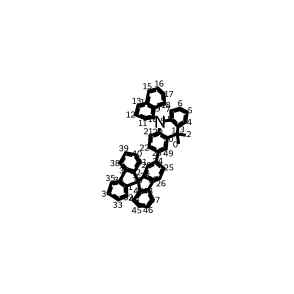 CC1(C)c2ccccc2N(c2cccc3ccccc23)c2ccc(-c3ccc4c(c3)C3(c5ccccc5-c5ccccc53)c3ccccc3-4)cc21